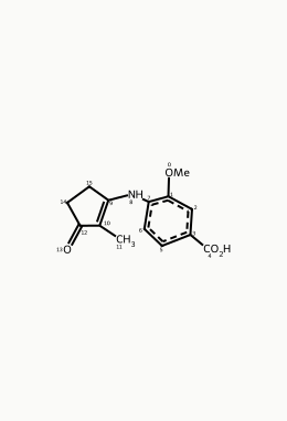 COc1cc(C(=O)O)ccc1NC1=C(C)C(=O)CC1